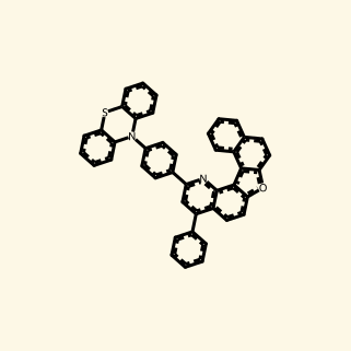 c1ccc(-c2cc(-c3ccc(N4c5ccccc5Sc5ccccc54)cc3)nc3c2ccc2oc4ccc5ccccc5c4c23)cc1